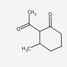 CC(=O)C1C(=O)CCCC1C